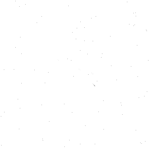 CC1=N[C@@H](C)C(C)=C2C[C@H](C(N)=O)CN12